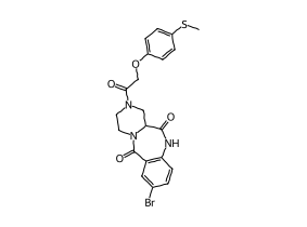 CSc1ccc(OCC(=O)N2CCN3C(=O)c4cc(Br)ccc4NC(=O)C3C2)cc1